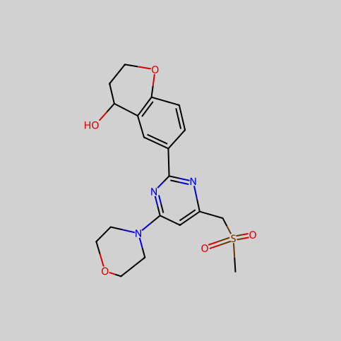 CS(=O)(=O)Cc1cc(N2CCOCC2)nc(-c2ccc3c(c2)C(O)CCO3)n1